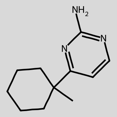 CC1(c2ccnc(N)n2)CCCCC1